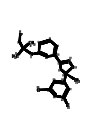 CC(C)(CBr)Sc1cccc(C2=NO[C@@](c3cc(Cl)cc(Cl)c3)(C(F)(F)F)C2)c1